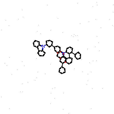 c1ccc(-c2ccc(N(c3ccc(-c4cccc(-n5c6ccccc6c6ccccc65)c4)cc3)c3cccc(-c4ccccc4)c3-c3ccccc3-c3ccccc3)cc2)cc1